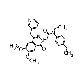 CCc1ccc(N(CC)C(=O)Cn2nc(Cc3cccnc3)c3cc(OC)c(OC)cc3c2=O)cc1